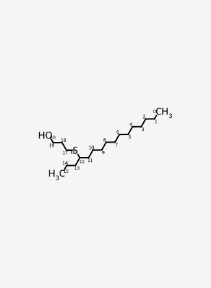 CCCCCCCCCCCCC(CCC)SCCCO